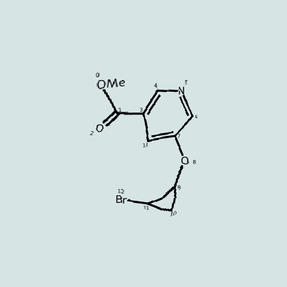 COC(=O)c1cncc(OC2CC2Br)c1